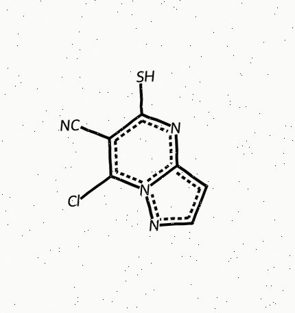 N#Cc1c(S)nc2ccnn2c1Cl